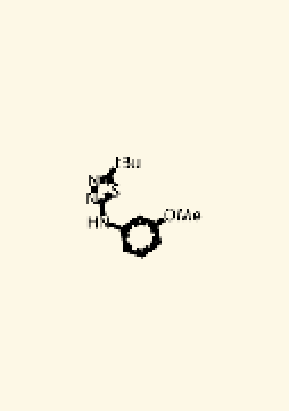 COc1cccc(Nc2nnc(C(C)(C)C)s2)c1